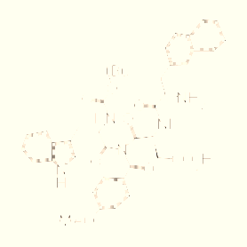 COc1ccc(C(=O)N(C(=O)[C@H](Cc2c[nH]c3ccccc23)NC(=O)OC(C)(C)C)C(=O)[C@H](CC(=O)O)NC(=O)[C@@H](N)Cc2ccc3ccccc3c2)cc1